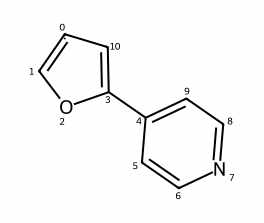 [c]1coc(-c2ccncc2)c1